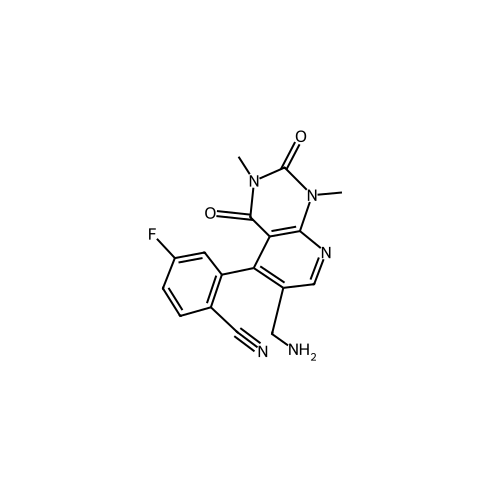 Cn1c(=O)c2c(-c3cc(F)ccc3C#N)c(CN)cnc2n(C)c1=O